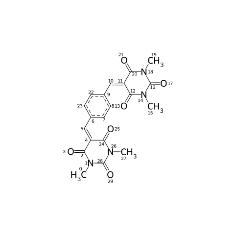 CN1C(=O)C(=Cc2ccc(C=C3C(=O)N(C)C(=O)N(C)C3=O)cc2)C(=O)N(C)C1=O